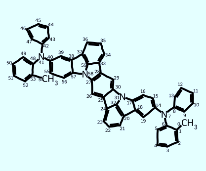 Cc1ccccc1N(c1ccccc1)c1ccc2c(c1)c1cccc3c4cc5c(cc4n2c13)c1cccc2c3cc(N(c4ccccc4)c4ccccc4C)ccc3n5c21